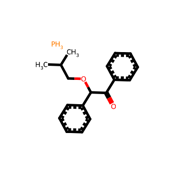 CC(C)COC(C(=O)c1ccccc1)c1ccccc1.P